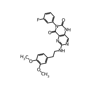 COc1ccc(CCNc2ncc3[nH]c(=O)n(-c4cccc(F)c4)c(=O)c3n2)cc1OC